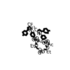 CCC(CO[N+](=O)OCC(CC)OCN(C(C)=O)S(=O)(=O)c1ccc(-n2nc(C(F)(F)F)cc2-c2ccc(C)cc2)cc1)OCN(C(C)=O)S(=O)(=O)c1ccc(-n2nc(C(F)(F)F)cc2-c2ccc(C)cc2)cc1